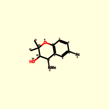 CNC1c2cc(C(C)=O)ccc2OC(C)(C)C1O